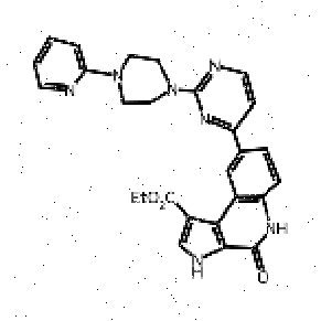 CCOC(=O)c1c[nH]c2c(=O)[nH]c3ccc(-c4ccnc(N5CCN(c6ccccn6)CC5)n4)cc3c12